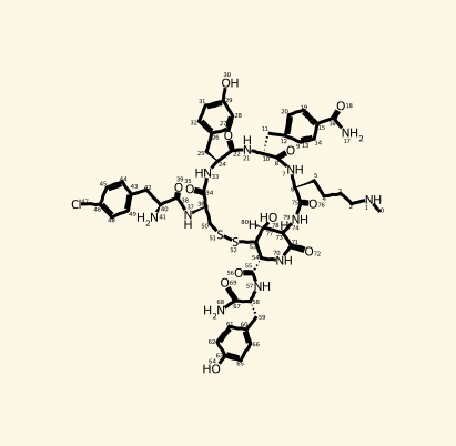 CNCCCC[C@@H]1NC(=O)[C@@H](Cc2ccc(C(N)=O)cc2)NC(=O)[C@H](Cc2ccc(O)cc2)NC(=O)[C@H](NC(=O)[C@@H](N)Cc2ccc(Cl)cc2)CSSC2[C@@H](C(=O)N[C@H](Cc3ccc(O)cc3)C(N)=O)NC(=O)[C@@H](NC1=O)[C@@H]2O